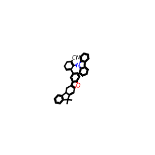 CC1(C)C2=Cc3oc4ccc(C5=CCCC(C#N)=C5n5c6ccccc6c6ccccc65)cc4c3CC2c2ccccc21